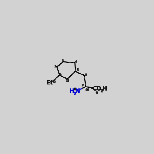 CCC1CCCC(C[C@H](N)C(=O)O)C1